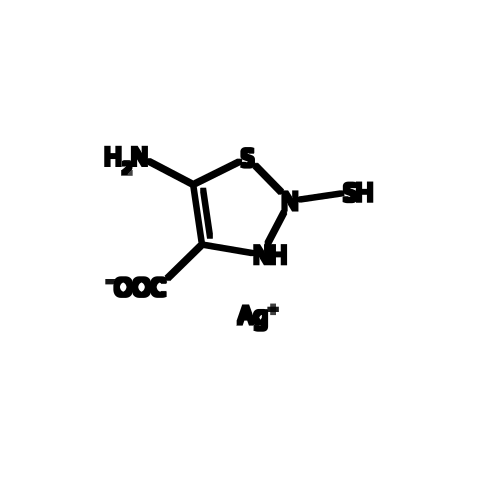 NC1=C(C(=O)[O-])NN(S)S1.[Ag+]